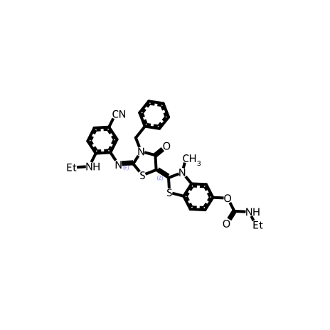 CCNC(=O)Oc1ccc2c(c1)N(C)/C(=C1/S/C(=N/c3cc(C#N)ccc3NCC)N(Cc3ccccc3)C1=O)S2